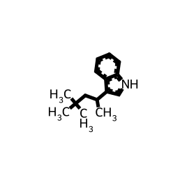 CC(CC(C)(C)C)c1c[nH]c2ccccc12